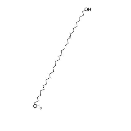 CCCCCCCCCCCCCCCCCCCCCCCCC=CCCCCCCCCO